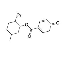 CC1CCC(C(C)C)C(OC(=O)C2=CCC(=O)C=C2)C1